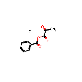 CC(=O)C(=O)OC(=O)c1ccccc1.[V]